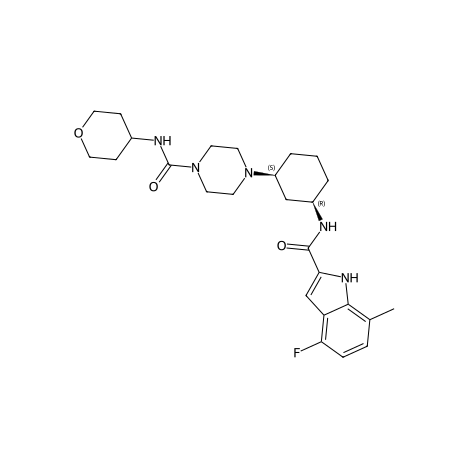 Cc1ccc(F)c2cc(C(=O)N[C@@H]3CCC[C@H](N4CCN(C(=O)NC5CCOCC5)CC4)C3)[nH]c12